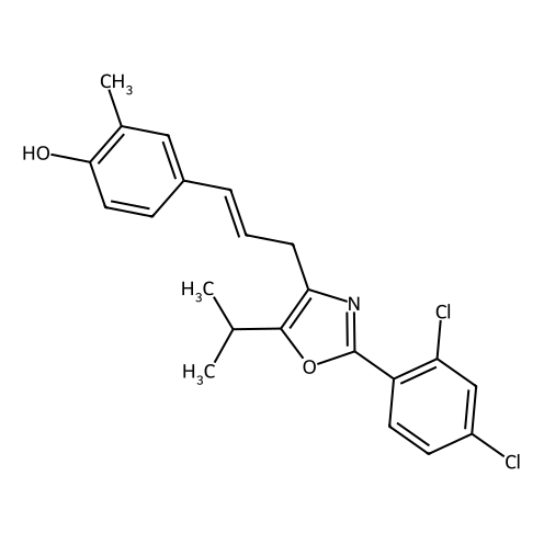 Cc1cc(C=CCc2nc(-c3ccc(Cl)cc3Cl)oc2C(C)C)ccc1O